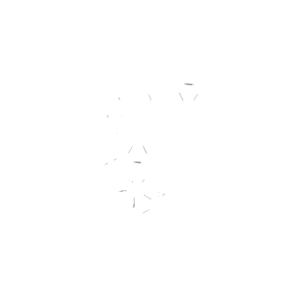 CCOc1cc(C(CS(C)(=O)=O)N2C(=O)c3cccc([N+](=O)[O-])c3C2=O)ccc1O[C@@H]1O[C@H](C(=O)OCc2ccccc2)[C@@H](OC(C)=O)[C@H](OC(C)=O)[C@H]1OC(C)=O